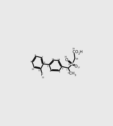 CC(c1ccc(-c2ccccc2F)cc1)S(=O)(=O)CC(=O)O